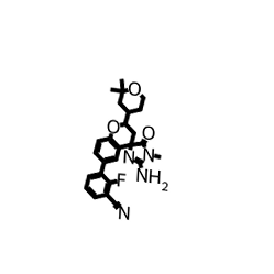 CN1C(=O)C2(CC(C3CCOC(C)(C)C3)Oc3ccc(-c4cccc(C#N)c4F)cc32)N=C1N